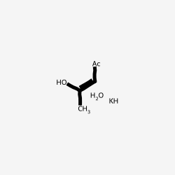 CC(=O)/C=C(/C)O.O.[KH]